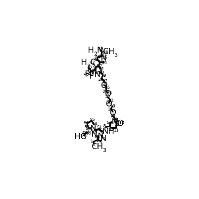 CCc1cnn2c(NCc3ccc(=O)n(CCOCCOCCOCCOCCCc4cc(-c5cnc([C@H](C)N)cc5C)cc(C(F)(F)F)n4)c3)cc(N3CCCC[C@H]3CCO)nc12